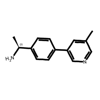 Cc1cncc(-c2ccc([C@H](C)N)cc2)c1